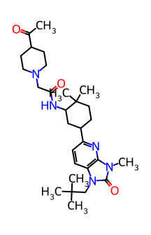 CC(=O)C1CCN(CC(=O)NC2CC(c3ccc4c(n3)n(C)c(=O)n4CC(C)(C)C)CCC2(C)C)CC1